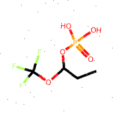 CCC(OC(F)(F)F)OP(=O)(O)O